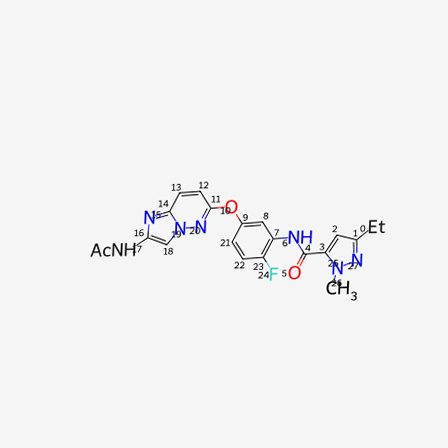 CCc1cc(C(=O)Nc2cc(Oc3ccc4nc(NC(C)=O)cn4n3)ccc2F)n(C)n1